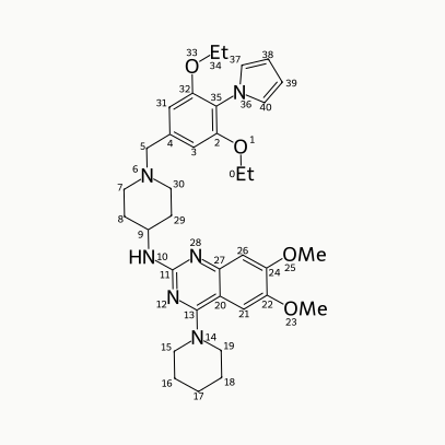 CCOc1cc(CN2CCC(Nc3nc(N4CCCCC4)c4cc(OC)c(OC)cc4n3)CC2)cc(OCC)c1-n1cccc1